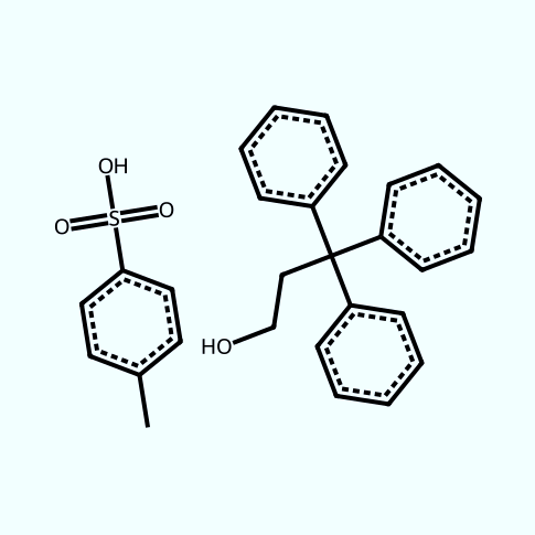 Cc1ccc(S(=O)(=O)O)cc1.OCCC(c1ccccc1)(c1ccccc1)c1ccccc1